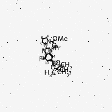 COC(=O)N1CCC[C@H]1c1nc2c(F)cc(B3OC(C)(C)C(C)(C)O3)cc2n1C(C)C